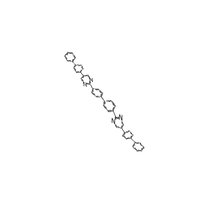 c1ccc(-c2ccc(-c3cnc(-c4ccc(-c5ccc(-c6ncc(-c7ccc(-c8ccccc8)cc7)cn6)cc5)cc4)nc3)cc2)cc1